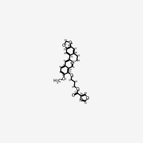 COc1ccc2cc3[n+](cc2c1OCCCOC(=O)c1cocn1)CCc1cc2c(cc1-3)OCO2